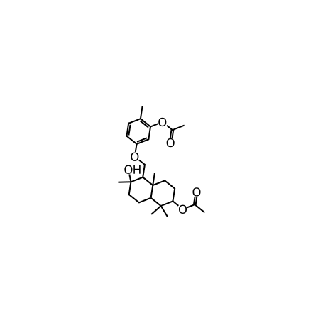 CC(=O)Oc1cc(OCC2C(C)(O)CCC3C(C)(C)C(OC(C)=O)CCC23C)ccc1C